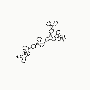 CC1(C)c2ccccc2-c2c1ccc1c3cc(-c4cccc5c4c4ccccc4n5-c4ccc(-n5c6ccccc6c6c7c(ccc65)-c5ccccc5C7(C)C)cc4)ccc3n(-c3ccc(-n4c5ccccc5c5ccccc54)cc3)c21